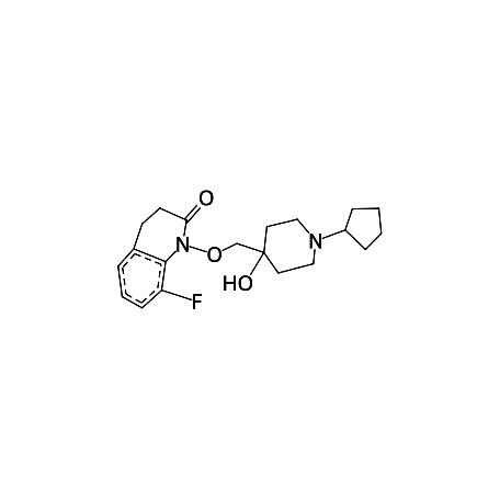 O=C1CCc2cccc(F)c2N1OCC1(O)CCN(C2CCCC2)CC1